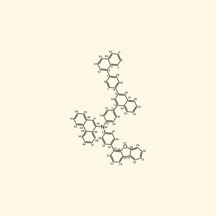 c1ccc2c(-c3ccc(-c4cc(-c5ccc(N(c6ccc(-c7cccc8c7oc7ccccc78)cc6)c6cc7ccccc7c7ccccc67)cc5)c5ccccc5c4)cc3)cccc2c1